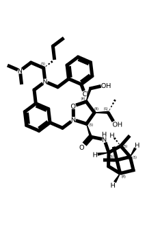 CCC[C@@H](CN(C)C)N(Cc1cccc(CN2O[C@@H](CO)[C@@H]([C@H](C)O)[C@H]2C(=O)N[C@H]2C[C@H]3C[C@@H]([C@@H]2C)C3(C)C)c1)Cc1ccccc1Cl